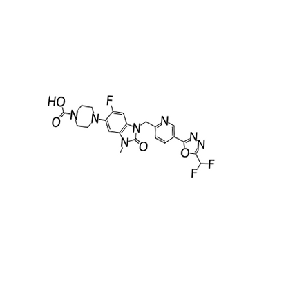 Cn1c(=O)n(Cc2ccc(-c3nnc(C(F)F)o3)cn2)c2cc(F)c(N3CCN(C(=O)O)CC3)cc21